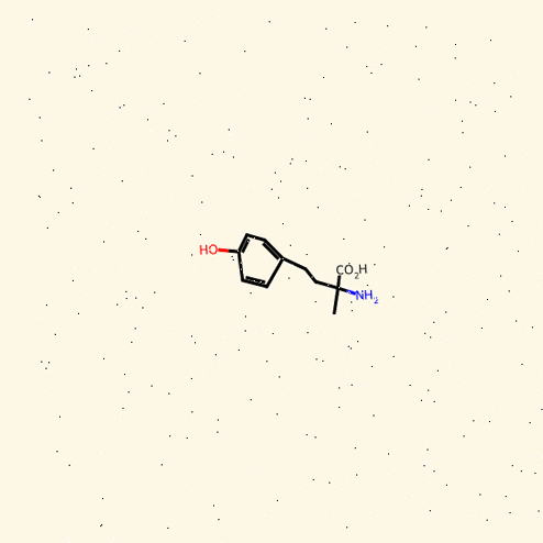 CC(N)(CCc1ccc(O)cc1)C(=O)O